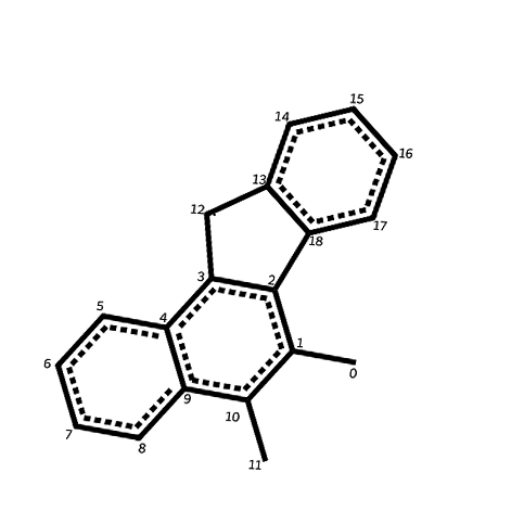 Cc1c2c(c3ccccc3c1C)[CH]c1ccccc1-2